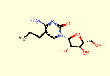 Nc1nc(=O)n([C@@H]2O[C@H](CO)[C@@H](O)[C@@H]2O)cc1CCC(F)(F)F